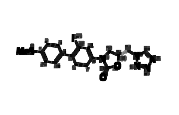 CSc1ccc(-c2ccc(N3C[C@H](Cn4cnnn4)OC3=O)cc2F)cc1